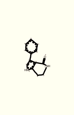 O=C1NCCc2[nH]cc(-c3ccccc3)c21